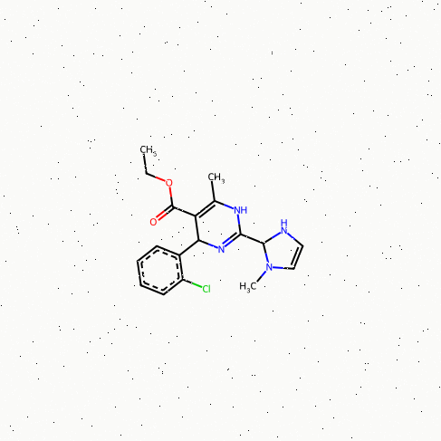 CCOC(=O)C1=C(C)NC(C2NC=CN2C)=NC1c1ccccc1Cl